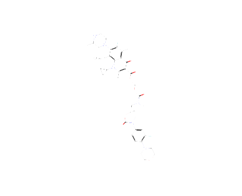 COc1c(N2CCNC(C)C2)c(F)c(C)c2c(=O)c(C(=O)OCOC(=O)N(C[C@H]3CN(c4ccc(N5CCOCC5)c(F)c4)C(=O)O3)C(C)=O)c(C)n(C3CC3)c12